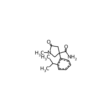 CC(C)c1ccccc1C1(C(N)=O)CC(=O)N(C)C1